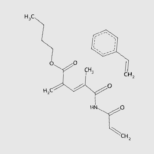 C=CC(=O)NC(=O)C(C)=CC(=C)C(=O)OCCCC.C=Cc1ccccc1